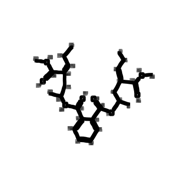 CCC=C(CC(C)OC(=O)c1ccccc1C(=O)OC(C)CC(=CCC)C(=O)OC)C(=O)OC